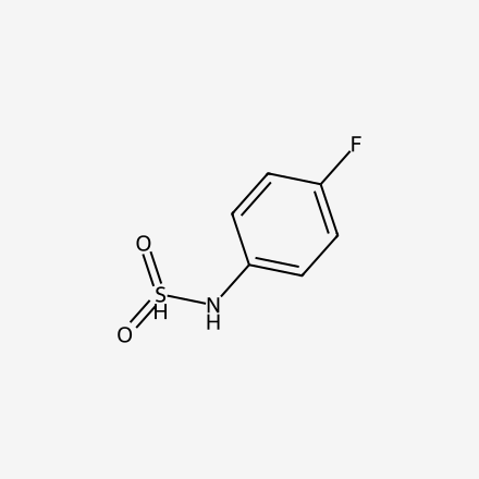 O=[SH](=O)Nc1ccc(F)cc1